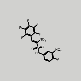 O=[N+]([O-])C(=Cc1c(F)c(F)c(F)c(F)c1F)S(=O)(=O)Nc1ccc(F)c([N+](=O)[O-])c1